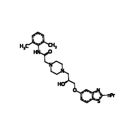 CCCc1nc2cc(OC[C@@H](O)CN3CCN(CC(=O)Nc4c(C)cccc4C)CC3)ccc2s1